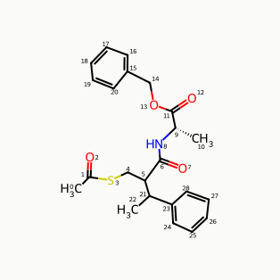 CC(=O)SCC(C(=O)N[C@@H](C)C(=O)OCc1ccccc1)C(C)c1ccccc1